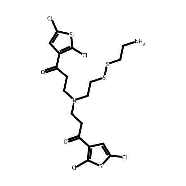 NCCSSCCN(CCC(=O)c1cc(Cl)sc1Cl)CCC(=O)c1cc(Cl)sc1Cl